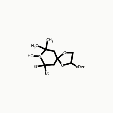 CCCCCCCCCCC1COC2(CC(C)(C)N(O)C(CC)(CC)C2)O1